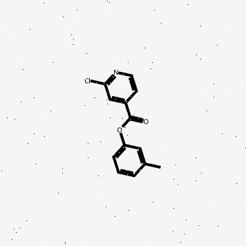 Cc1cccc(OC(=O)c2ccnc(Cl)c2)c1